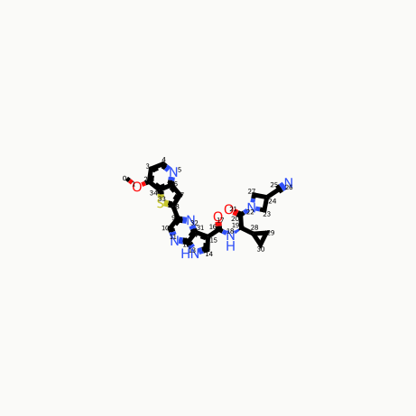 COc1ccnc2cc(-c3cnc4[nH]cc(C(=O)N[C@@H](C(=O)N5CC(C#N)C5)C5CC5)c4n3)sc12